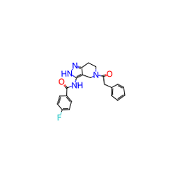 O=C(Nc1[nH]nc2c1CN(C(=O)Cc1ccccc1)CC2)c1ccc(F)cc1